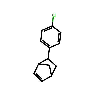 Clc1ccc(C2CC3C=CC2C3)cc1